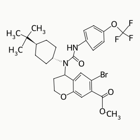 COC(=O)c1cc2c(cc1Br)C(N(C(=O)Nc1ccc(OC(F)(F)F)cc1)[C@H]1CC[C@H](C(C)(C)C)CC1)CCO2